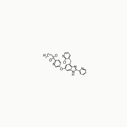 CCS(=O)(=O)c1ccc(Oc2cc(Cc3cccnc3Cl)c3nc(-c4ccccn4)[nH]c3c2)cn1